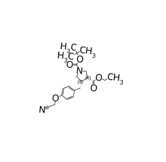 CCOC(=O)[C@H]1CN(C(=O)OC(C)(C)C)C[C@H]1Cc1ccc(OCC#N)cc1